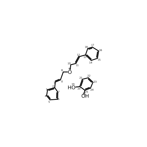 C(=Cc1ccccc1)COCC=Cc1ccccc1.Oc1ccccc1O